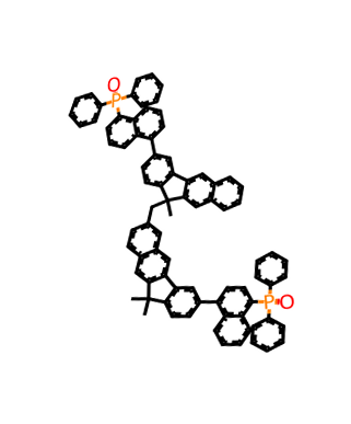 CC1(C)c2ccc(-c3ccc(P(=O)(c4ccccc4)c4ccccc4)c4ccccc34)cc2-c2cc3cc(CC4(C)c5ccc(-c6cccc7c(P(=O)(c8ccccc8)c8ccccc8)cccc67)cc5-c5cc6ccccc6cc54)ccc3cc21